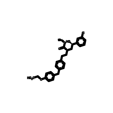 CC(C)(C)OC(=O)N(CCc1ccc(Cc2ccc(OCC(=O)O)cc2)cc1)C[C@H](O)c1cccc(Cl)c1